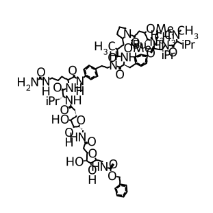 CC[C@H](C)C(C(CC(=O)N1CCCC1C(OC)C(C)C(=O)N[C@@H](Cc1ccccc1)C(=O)NCCc1ccc(NC(=O)C(CCCNC(N)=O)NC(=O)[C@H](NC(=O)C[C@@H]2O[C@H](CNC(=O)CC3OC(CNC(=O)OCc4ccccc4)[C@@H](O)[C@H]3O)C(O)C2O)C(C)C)cc1)OC)N(C)C(=O)[C@@H](NC(=O)C(C(C)C)N(C)C)C(C)C